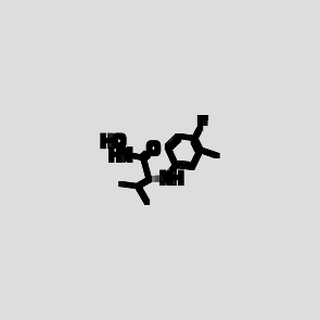 Cc1cc(N[C@@H](C(=O)NO)C(C)C)ccc1F